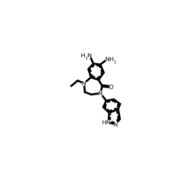 CCN1CCN(c2ccc3cn[nH]c3c2)C(=O)c2cc(N)c(N)cc21